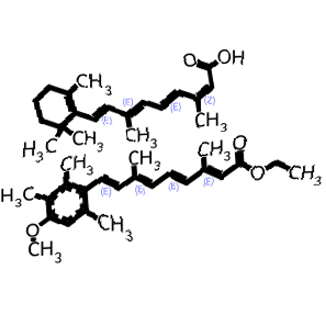 CC1=C(/C=C/C(C)=C/C=C/C(C)=C\C(=O)O)C(C)(C)CCC1.CCOC(=O)/C=C(C)/C=C/C=C(C)/C=C/c1c(C)cc(OC)c(C)c1C